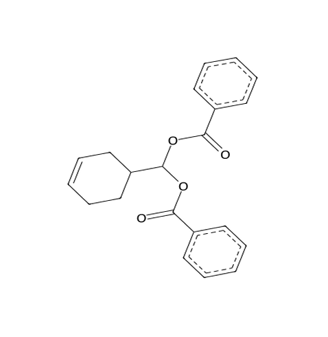 O=C(OC(OC(=O)c1ccccc1)C1CC=CCC1)c1ccccc1